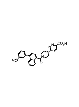 O=C(O)c1ccc(N2CCN(C(=O)c3ccc(-c4cccc(O)c4)c4ccccc34)CC2)nn1